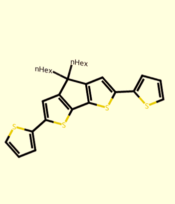 CCCCCCC1(CCCCCC)c2cc(-c3cccs3)sc2-c2sc(-c3cccs3)cc21